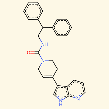 O=C(NCC(c1ccccc1)c1ccccc1)N1CC=C(c2c[nH]c3ncccc23)CC1